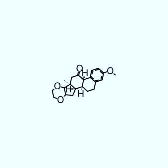 COc1ccc2c(c1)CC[C@@H]1[C@@H]2C(=O)C[C@]2(C)C3OCCOC3C[C@@H]12